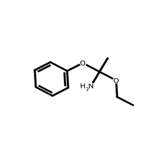 CCOC(C)(N)Oc1ccccc1